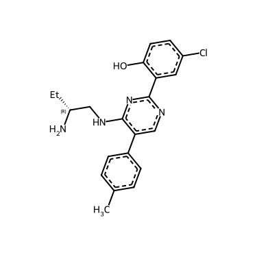 CC[C@@H](N)CNc1nc(-c2cc(Cl)ccc2O)ncc1-c1ccc(C)cc1